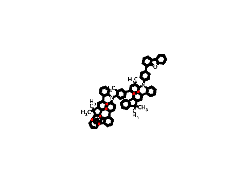 Cc1cc(-c2ccc(N(c3ccc(-c4cccc5c4oc4ccccc45)cc3)c3ccccc3-c3ccc4c(c3)C(C)(C)c3ccccc3-4)c(C)c2)ccc1N(c1ccc(-c2cccc3c2oc2ccccc23)cc1)c1ccccc1-c1ccc2c(c1)C(C)(C)c1ccccc1-2